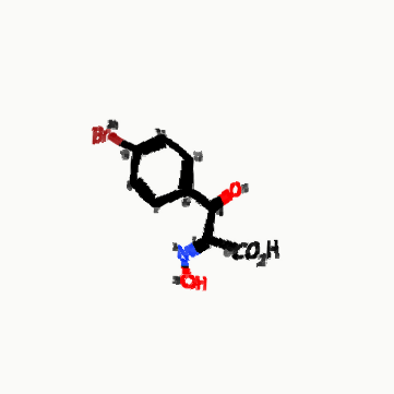 O=C(O)C(=NO)C(=O)c1ccc(Br)cc1